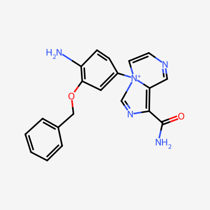 NC(=O)C1=C2C=NC=C[N+]2(c2ccc(N)c(OCc3ccccc3)c2)C=N1